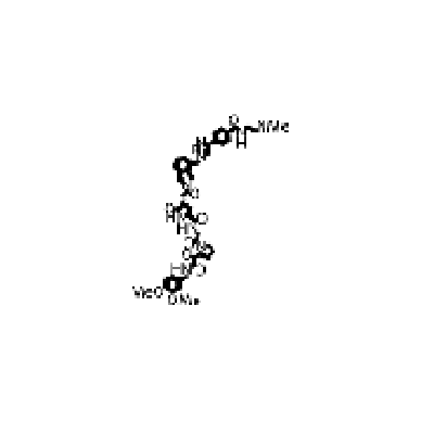 CNCCNC(=O)c1ccc(-c2cn(Cc3cccc4c3CN(C(=O)C[C@@H]3CC(C(=O)NCC(=O)N5CCCC5C(=O)C(=O)NCc5ccc(OC)c(OC)c5)NC3=O)C4)nn2)cc1